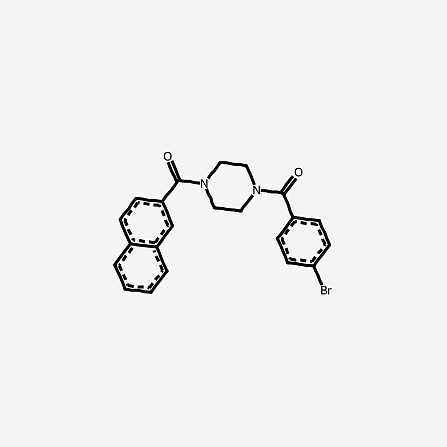 O=C(c1ccc(Br)cc1)N1CCN(C(=O)c2ccc3ccccc3c2)CC1